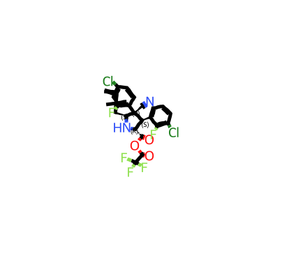 C=CC(C)(C)C[C@@H]1N[C@@H](C(=O)OC(=O)C(F)(F)F)[C@H](c2cccc(Cl)c2F)[C@@]1(C#N)c1ccc(Cl)cc1F